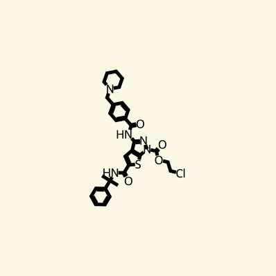 CC(C)(NC(=O)c1cc2c(NC(=O)c3ccc(CN4CCCCC4)cc3)nn(C(=O)OCCCl)c2s1)c1ccccc1